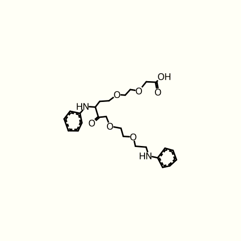 O=C(O)COCCOCCC(Nc1ccccc1)C(=O)COCCOCCNc1ccccc1